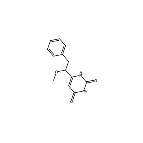 COC(Cc1ccccc1)c1cc(=O)[nH]c(=O)[nH]1